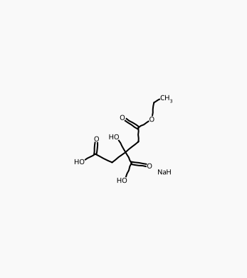 CCOC(=O)CC(O)(CC(=O)O)C(=O)O.[NaH]